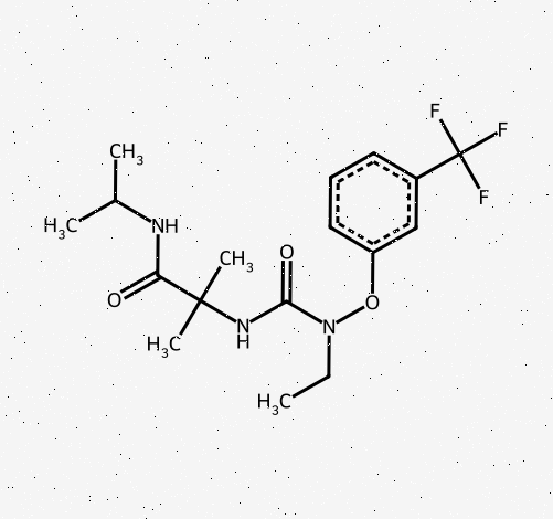 CCN(Oc1cccc(C(F)(F)F)c1)C(=O)NC(C)(C)C(=O)NC(C)C